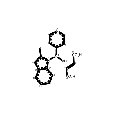 CCCN(c1ccncc1)n1c(C)cc2ccccc21.O=C(O)C=CC(=O)O